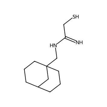 N=C(CS)NCC12CCCC(CCC1)C2